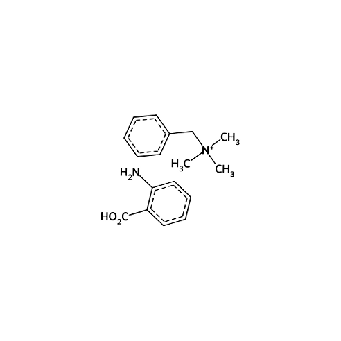 C[N+](C)(C)Cc1ccccc1.Nc1ccccc1C(=O)O